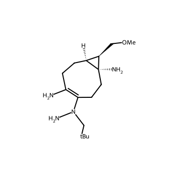 COC[C@@H]1[C@@H]2CC/C(N)=C(/N(N)CC(C)(C)C)CC[C@]12N